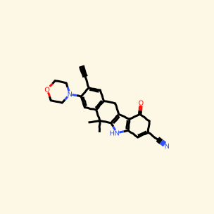 C#Cc1cc2c(cc1N1CCOCC1)C(C)(C)c1[nH]c3c(c1C2)C(=O)CC(C#N)=C3